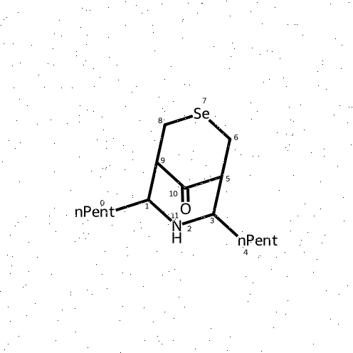 CCCCCC1NC(CCCCC)C2C[Se]CC1C2=O